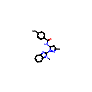 Cc1cc(NC(=O)c2ccc(C(C)(C)C)cc2)n(-c2nc3ccccc3n2C)n1